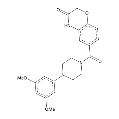 COc1cc(OC)cc(N2CCN(C(=O)c3ccc4c(c3)NC(=O)CO4)CC2)c1